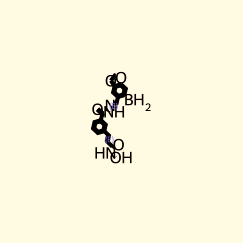 Bc1cc2c(cc1/C=N/NC(=O)c1cccc(/C=C/C(=O)NO)c1)OCO2